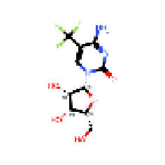 Nc1nc(=O)n([C@@H]2O[C@H](CO)[C@H](O)[C@@H]2O)cc1C(F)(F)F